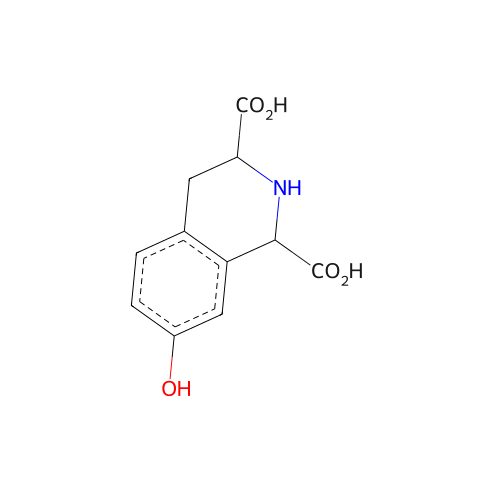 O=C(O)C1Cc2ccc(O)cc2C(C(=O)O)N1